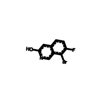 Oc1cc2ccc(F)c(Br)c2cn1